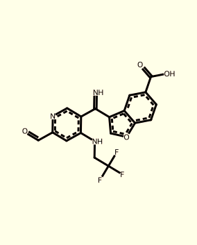 N=C(c1cnc(C=O)cc1NCC(F)(F)F)c1coc2ccc(C(=O)O)cc12